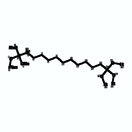 CCCCCCCCCO[Si](OC)(OC)[SiH2]CCCCCCCCCCC(OCC)(OCC)OCC